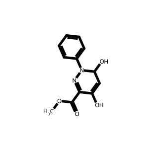 COC(=O)C1=NN(c2ccccc2)C(O)C=C1O